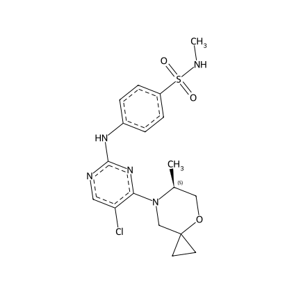 CNS(=O)(=O)c1ccc(Nc2ncc(Cl)c(N3CC4(CC4)OC[C@@H]3C)n2)cc1